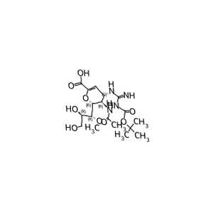 CO[C@@H]([C@@H]1OC(C(=O)O)=C[C@H](NC(=N)NC(=O)OC(C)(C)C)[C@H]1NC(C)=O)[C@H](O)CO